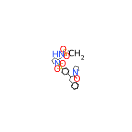 C=CS(=O)(=O)NCC1CCCN1S(=O)(=O)c1ccc(C(Cc2ccccc2)C(=O)N2CCCC2)cc1